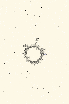 C/C=C/C[C@@H](C)[C@@H](O)[C@H]1C(=O)N[C@@H](CC)C(=O)N(C)[C@H](CSCCC(C)(C)OC)C(=O)N(C)[C@@H](CC(C)(C)O)C(=O)N[C@@H](C(C)C)C(=O)N(C)[C@@H](CC(C)C)C(=O)N[C@@H](C)C(=O)N[C@H](C)C(=O)N(C)[C@@H](CC(C)C)C(=O)N(C)[C@@H](CC(C)C)C(=O)N(C)[C@@H](C(C)C)C(=O)N1C